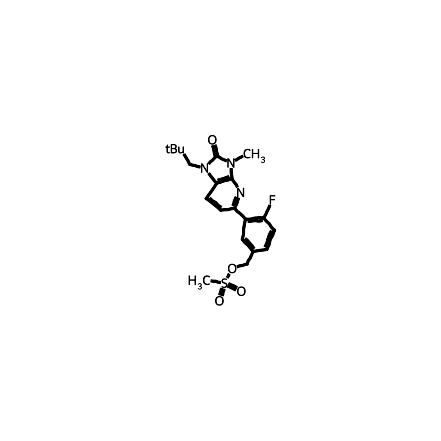 Cn1c(=O)n(CC(C)(C)C)c2ccc(-c3cc(COS(C)(=O)=O)ccc3F)nc21